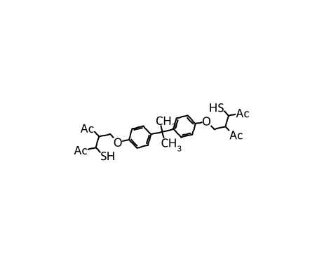 CC(=O)C(S)C(COc1ccc(C(C)(C)c2ccc(OCC(C(C)=O)C(S)C(C)=O)cc2)cc1)C(C)=O